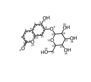 O=c1ccc2cc(O)c(OC3OC(CO)C(O)C(O)C3O)cc2o1